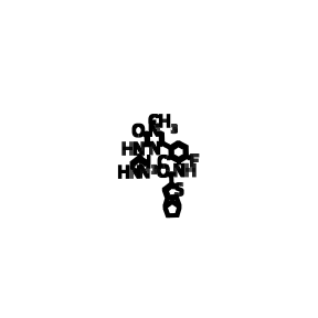 Cc1c(-c2cn(C)c(=O)c(Nc3cn[nH]c3)n2)ccc(F)c1NC(=O)c1cc2c(s1)C1CCC2C1